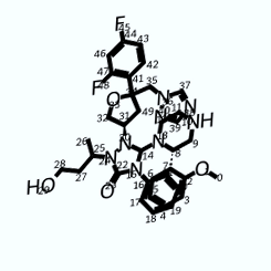 COc1ccccc1[C@H]1CNCCN1C1N(c2ccccc2)C(=O)N(C(C)CCO)N1[C@H]1COC(Cn2cncn2)(c2ccc(F)cc2F)C1